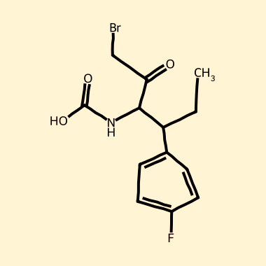 CCC(c1ccc(F)cc1)C(NC(=O)O)C(=O)CBr